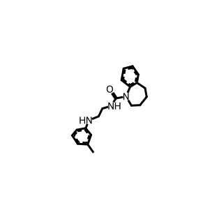 Cc1cccc(NCCNC(=O)N2CCCCc3ccccc32)c1